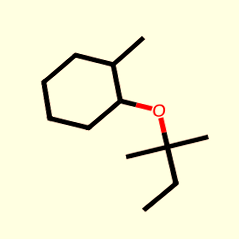 CCC(C)(C)OC1CCCCC1C